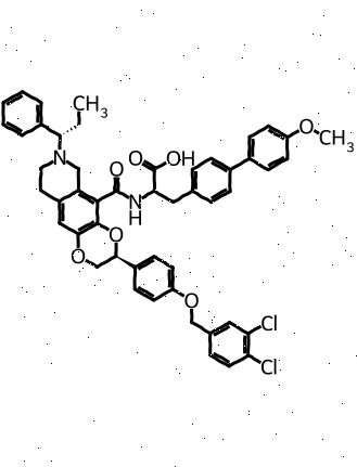 CC[C@@H](c1ccccc1)N1CCc2cc3c(c(C(=O)NC(Cc4ccc(-c5ccc(OC)cc5)cc4)C(=O)O)c2C1)O[C@@H](c1ccc(OCc2ccc(Cl)c(Cl)c2)cc1)CO3